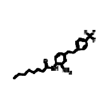 CCCCCCCC(=O)Nc1ccc(CCc2ccc(C(F)(F)F)cc2)cc1N